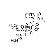 CO/N=C(\C(=O)N[C@@H]1C(=O)N2C(C(=O)[O-])=C(Cn3c(C(N)=O)c[n+]4ccccc34)CS[C@H]12)c1csc(N)n1